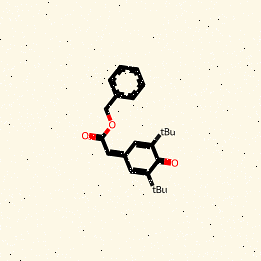 CC(C)(C)C1=CC(=CC(=O)OCc2ccccc2)C=C(C(C)(C)C)C1=O